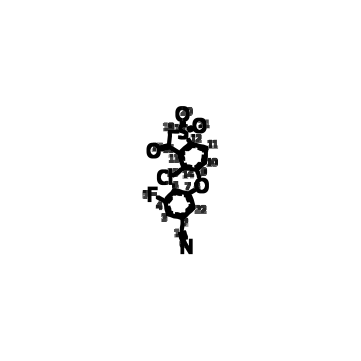 N#Cc1cc(F)cc(Oc2ccc3c(c2Cl)C(=O)CS3(=O)=O)c1